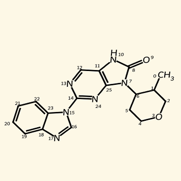 CC1COCCC1n1c(=O)[nH]c2cnc(-n3cnc4ccccc43)nc21